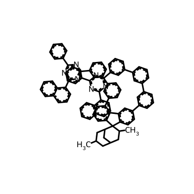 CC1CC2CC(C)C3(c4ccc(-c5cccc(-c6cccc(-c7cccc(-c8nc(-c9ccccc9)nc(-c9cccc%10ccccc9%10)n8)c7)c6)c5)cc4-c4c(-c5cccc(-c6cccc(-c7nc(-c8ccccc8)nc(-c8cccc9ccccc89)n7)c6)c5)cccc43)C(C1)C2